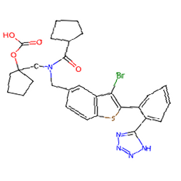 O=C(O)OC1(CN(Cc2ccc3sc(-c4ccccc4-c4nnn[nH]4)c(Br)c3c2)C(=O)C2CCCC2)CCCC1